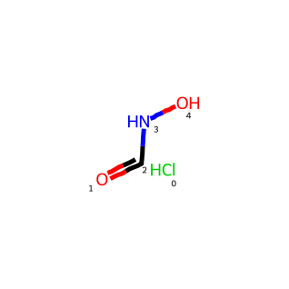 Cl.O=CNO